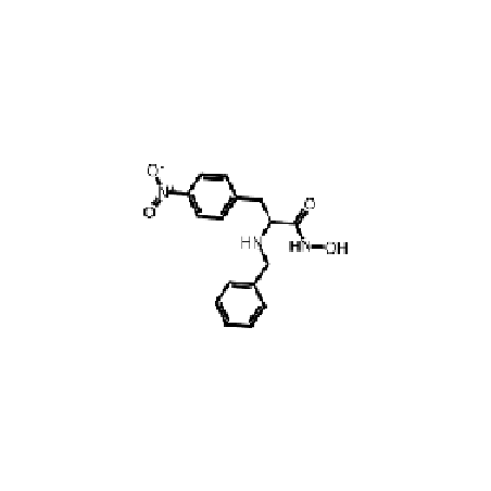 O=C(NO)[C@H](Cc1ccc([N+](=O)[O-])cc1)NCc1ccccc1